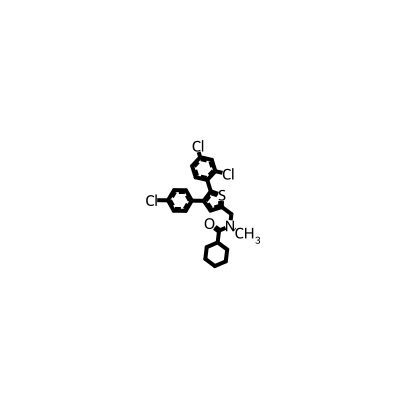 CN(Cc1cc(-c2ccc(Cl)cc2)c(-c2ccc(Cl)cc2Cl)s1)C(=O)C1CCCCC1